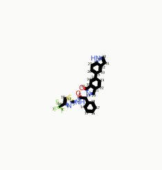 O=C(Nc1nc(C(F)(F)F)cs1)[C@@H](c1ccccc1)N1Cc2ccc(-c3ccc4[nH]ccc4c3)cc2C1=O